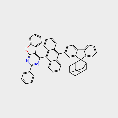 c1ccc(-c2nc(-c3c4ccccc4c(-c4ccc5c(c4)C4(c6ccccc6-5)C5CC6CC(C5)CC4C6)c4ccccc34)c3c(n2)oc2ccccc23)cc1